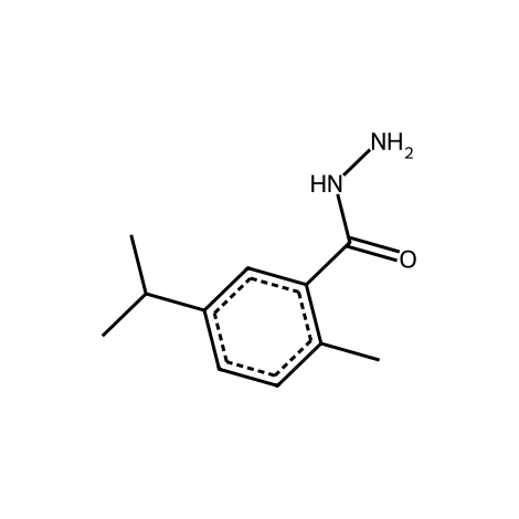 Cc1ccc(C(C)C)cc1C(=O)NN